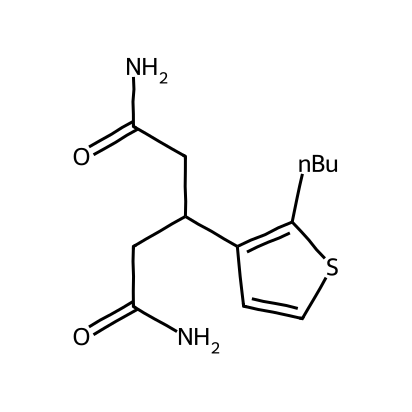 CCCCc1sccc1C(CC(N)=O)CC(N)=O